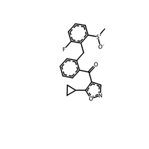 C[S+]([O-])c1cccc(F)c1Cc1ccccc1C(=O)c1cnoc1C1CC1